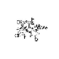 CO[C@H]1CC(=O)C[C@@H](c2cccc(Cl)c2F)[C@]12C(=O)Nc1cc(Cl)ccc12